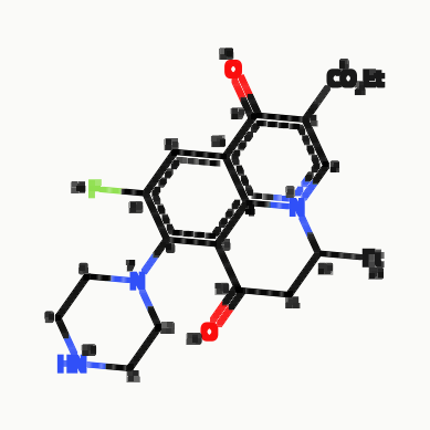 CCOC(=O)c1cn2c3c(c(N4CCNCC4)c(F)cc3c1=O)C(=O)CC2CC